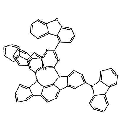 c1ccc(-c2cccc(-n3c4ccccc4c4ccc5c6cc(-n7c8ccccc8c8ccccc87)ccc6n(-c6nc(-c7ccccc7)nc(-c7cccc8oc9ccccc9c78)n6)c5c43)c2)cc1